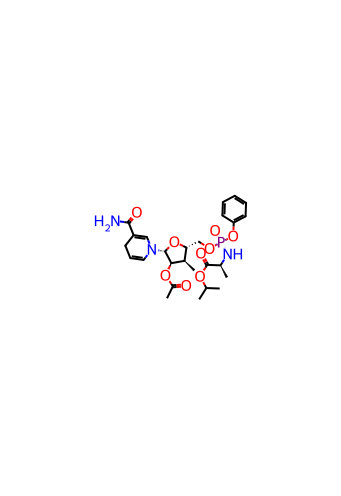 CC(=O)O[C@@H]1[C@H](C)[C@@H](COP(=O)(N[C@@H](C)C(=O)OC(C)C)Oc2ccccc2)O[C@H]1N1C=CCC(C(N)=O)=C1